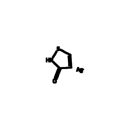 O=c1ccs[nH]1.[Ag]